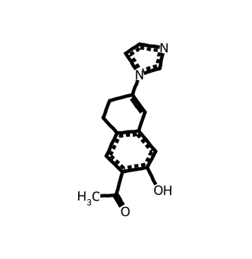 CC(=O)c1cc2c(cc1O)C=C(n1ccnc1)CC2